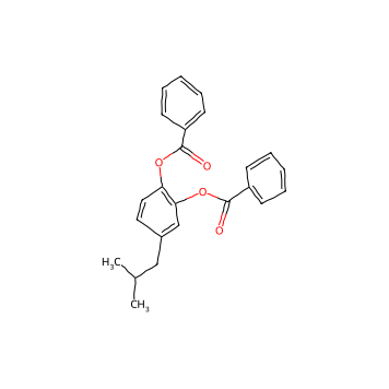 CC(C)Cc1ccc(OC(=O)c2ccccc2)c(OC(=O)c2ccccc2)c1